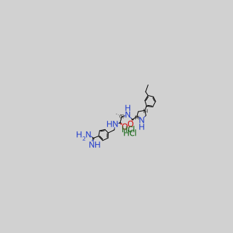 CCc1cccc([C@H]2CN[C@@H](C(=O)N[C@@H](C)C(=O)NCc3ccc(C(=N)N)cc3)C2)c1.Cl.Cl